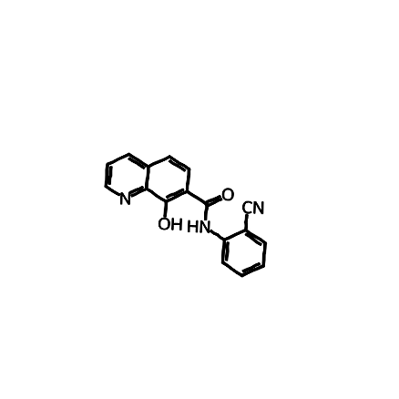 N#Cc1ccccc1NC(=O)c1ccc2cccnc2c1O